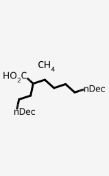 C.CCCCCCCCCCCCCCC(CCCCCCCCCCCC)C(=O)O